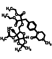 C#C[C@@]1(OC(C)=O)[C@@H](COC(Cc2ccc(N3CCN(C)CC3=O)cc2)(C(=O)OCC)C(=O)OCC)O[C@@H]2OC(C)(C)O[C@@H]21